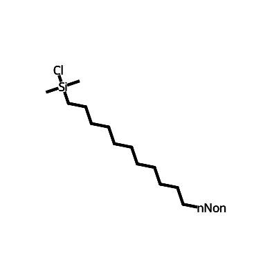 CCCCCCCCCCCCCCCCCCCC[Si](C)(C)Cl